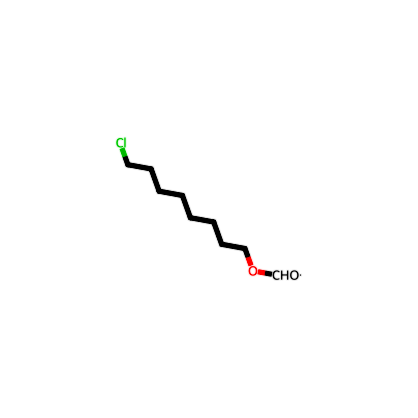 O=[C]OCCCCCCCCCl